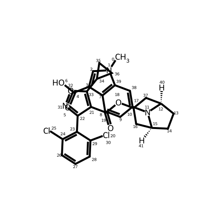 Cn1cc(C(=O)O)c2ccc(N3[C@@H]4CC[C@H]3CC(OC(=O)c3c(-c5c(Cl)cccc5Cl)noc3C3CC3)C4)cc21